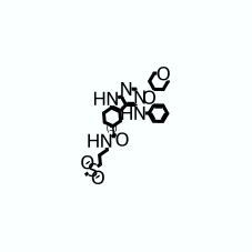 CS(=O)(=O)CCCNC(=O)[C@H]1CCc2[nH]c3ncnc(Nc4ccccc4OC4CCOCC4)c3c2C1